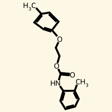 Cc1ccc(OCCOC(=O)Nc2ccccc2C)cc1